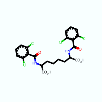 O=C(NC(CCCCC(NC(=O)c1c(Cl)cccc1Cl)C(=O)O)C(=O)O)c1c(Cl)cccc1Cl